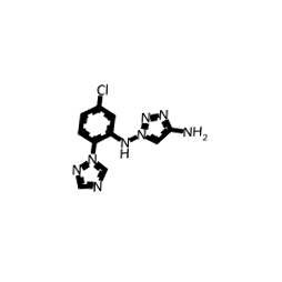 Nc1cn(Nc2cc(Cl)ccc2-n2cncn2)nn1